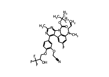 C=CCN(C)c1cc(F)cc2c3c(-c4ccc(OCC(O)C(F)(F)F)c(OCC#N)c4)nc(C)nc3n(C(=O)OC(C)(C)C)c12